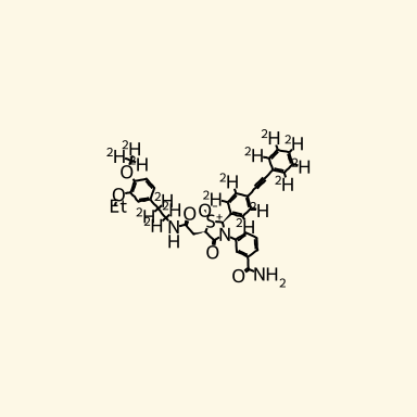 [2H]c1c([2H])c([2H])c(C#Cc2c([2H])c([2H])c([C@H]3N(c4cccc(C(N)=O)c4)C(=O)[C@@H](CC(=O)NC([2H])([2H])C([2H])([2H])c4ccc(OC([2H])([2H])[2H])c(OCC)c4)[S@+]3[O-])c([2H])c2[2H])c([2H])c1[2H]